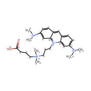 CN(C)c1ccc2cc3ccc(N(C)C)cc3[n+](CCC[N+](C)(C)CCCC(=O)O)c2c1